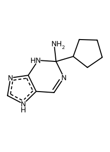 NC1(C2CCCC2)N=Cc2[nH]cnc2N1